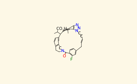 Cc1c2ccc3c1nnn3CC/C=C/Cc1ccc(c(F)c1)C(=O)N1CCc3ccc(cc3C1)C2C(C)C(=O)O